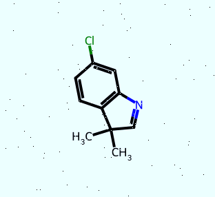 CC1(C)C=Nc2cc(Cl)ccc21